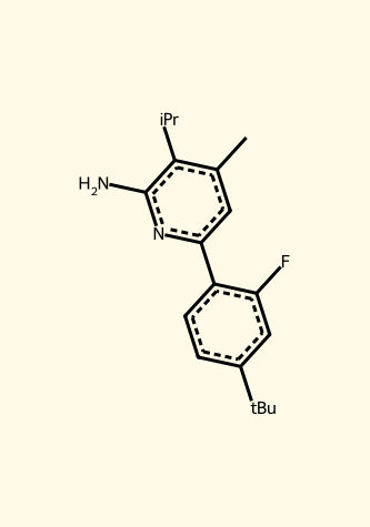 Cc1cc(-c2ccc(C(C)(C)C)cc2F)nc(N)c1C(C)C